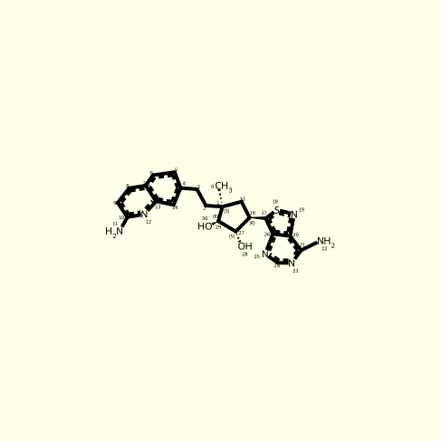 C[C@]1(CCc2ccc3ccc(N)nc3c2)C[C@@H](c2snc3c(N)ncnc23)[C@H](O)[C@@H]1O